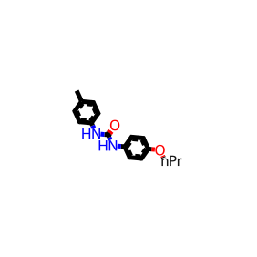 CCCOc1ccc(NC(=O)Nc2ccc(C)cc2)cc1